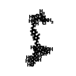 Cc1cc(CCC(=O)NCCN(C[C@H](O)[C@@H](O)[C@H](O)[C@H](O)CO)C[C@H](O)[C@@H](O)[C@H](O)[C@H](O)CO)ccc1-c1ccc(CCCCNC(=N)NC(=O)c2nc(Cl)c(N)nc2N)cc1